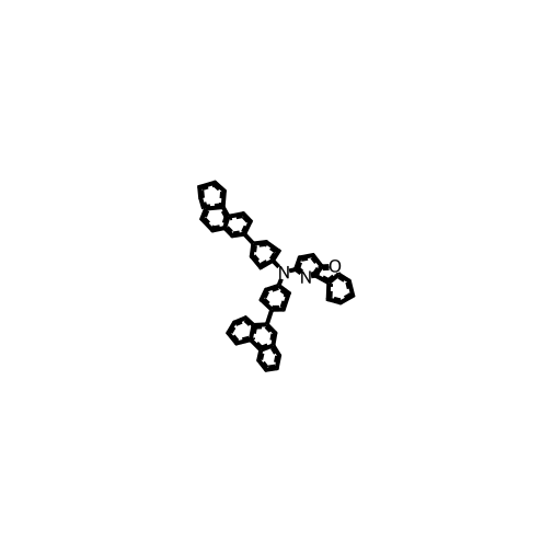 c1ccc2c(c1)ccc1cc(-c3ccc(N(c4ccc(-c5cc6ccccc6c6ccccc56)cc4)c4ccc5oc6ccccc6c5n4)cc3)ccc12